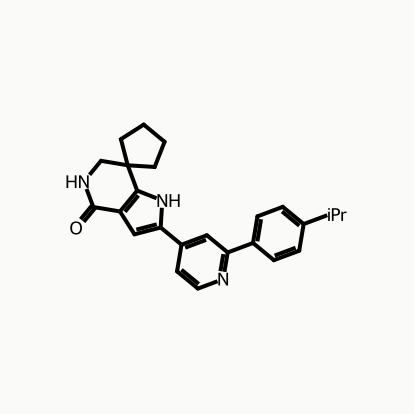 CC(C)c1ccc(-c2cc(-c3cc4c([nH]3)C3(CCCC3)CNC4=O)ccn2)cc1